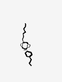 CCCCCCC[C@H]1CO[C@H](c2ccc(CCC)cc2)CO1